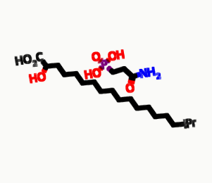 CC(C)CCCCCCCCCCCCCCC(O)C(=O)O.NC(=O)CCP(=O)(O)O